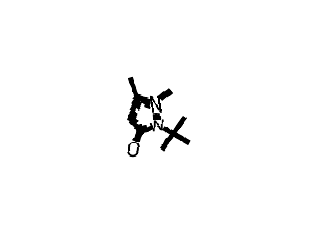 Cc1cc(=O)n(C(C)(C)C)n1C